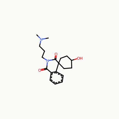 CN(C)CCCN1C(=O)c2ccccc2C2(CCC(O)CC2)C1=O